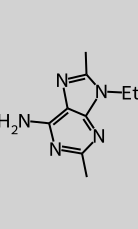 CCn1c(C)nc2c(N)nc(C)nc21